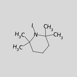 CC1(C)CCCC(C)(C)N1I